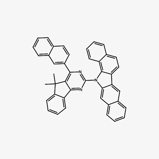 CC1(C)c2ccccc2-c2nc(-n3c4cc5ccccc5cc4c4ccc5ccccc5c43)nc(-c3ccc4ccccc4c3)c21